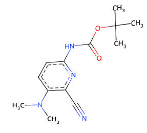 CN(C)c1ccc(NC(=O)OC(C)(C)C)nc1C#N